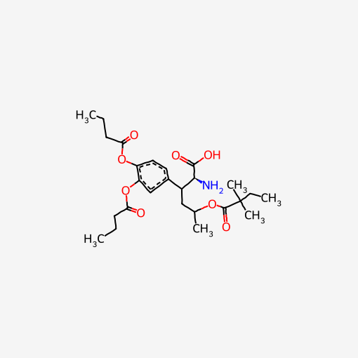 CCCC(=O)Oc1ccc(C(CC(C)OC(=O)C(C)(C)CC)[C@H](N)C(=O)O)cc1OC(=O)CCC